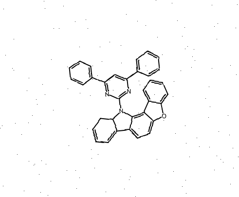 C1=CCC2C(=C1)c1ccc3oc4ccccc4c3c1N2c1nc(-c2ccccc2)cc(-c2ccccc2)n1